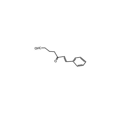 O=CCCCC(=O)C=Cc1ccccc1